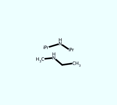 CC(C)NC(C)C.CCNC